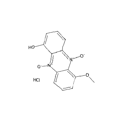 COc1cccc2c1[n+]([O-])c1cccc(O)c1[n+]2[O-].Cl